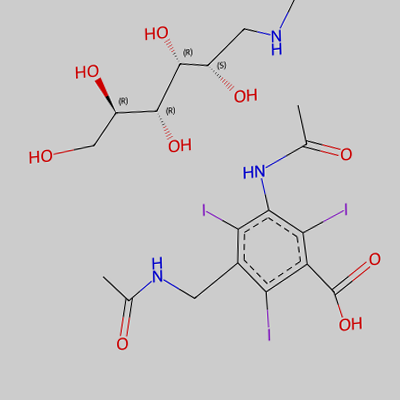 CC(=O)NCc1c(I)c(NC(C)=O)c(I)c(C(=O)O)c1I.CNC[C@H](O)[C@@H](O)[C@H](O)[C@H](O)CO